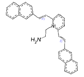 NCC[n+]1c(/C=C/c2ccc3ccccc3c2)cccc1/C=C/c1ccc2ccccc2c1